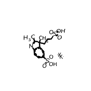 CC1=Nc2ccc(S(=O)(=O)O)cc2C1(C)CCCS(=O)(=O)O.[K].[K]